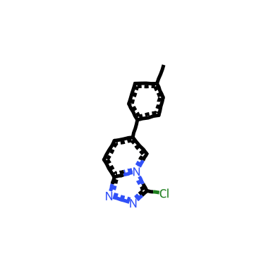 Cc1ccc(-c2ccc3nnc(Cl)n3c2)cc1